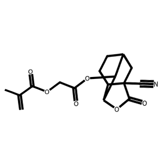 C=C(C)C(=O)OCC(=O)OC1C2CCC3C1OC(=O)C3(C#N)C2